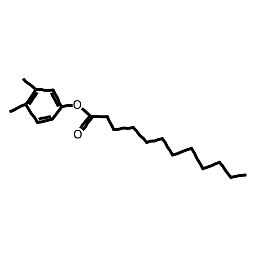 CCCCCCCCCCCC(=O)Oc1ccc(C)c(C)c1